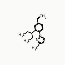 C=Cc1ccc(-n2ccc(C)n2)c(C(CC)CC)c1